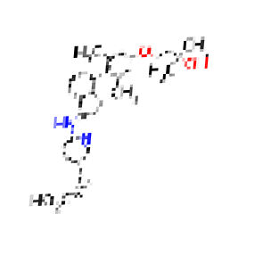 Cc1cc(OCCC(C)(C)O)cc(C)c1-c1cccc2c1CC[C@H]2Nc1ccc(C2C[C@@H]2C(=O)O)cn1